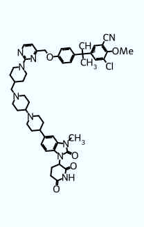 COc1c(Cl)cc(C(C)(C)c2ccc(OCc3ccnc(N4CCC(CN5CCC(N6CCC(c7ccc8c(c7)n(C)c(=O)n8C7CCC(=O)NC7=O)CC6)CC5)CC4)n3)cc2)cc1C#N